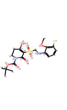 COc1c(F)cccc1NCS(=O)(=O)C1=C(O)CCN(C(=O)OC(C)(C)C)C1=O